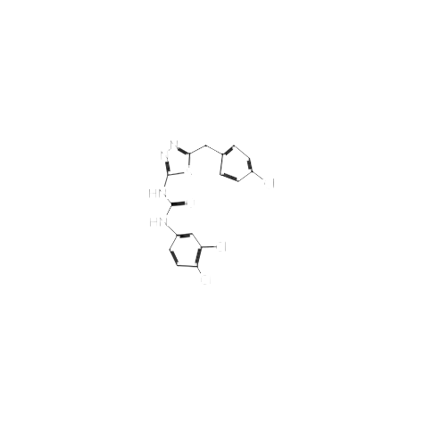 O=C(Nc1ccc(Cl)c(Cl)c1)Nc1nnc(Cc2ccc(Cl)cc2)s1